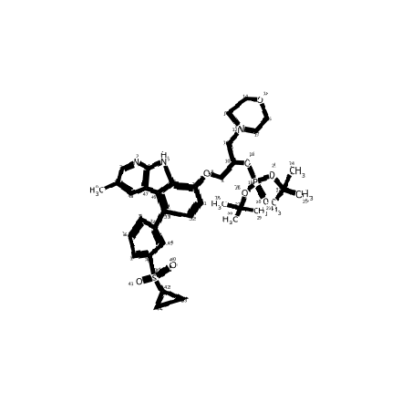 Cc1cnc2[nH]c3c(OCC(CN4CCOCC4)OP(=O)(OC(C)(C)C)OC(C)(C)C)ccc(-c4cccc(S(=O)(=O)C5CC5)c4)c3c2c1